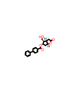 O=C1C[C@@H]2[C@H](CO)[C@H](OC(=O)c3ccc(-c4ccccc4)cc3)C[C@@H]2O1